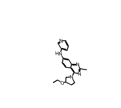 CCOC1CCN(c2nc(C)nc3cc(Nc4cccnc4)ccc23)C1